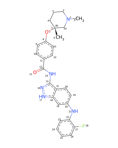 CN1CCC[C@@](C)(Oc2ccc(C(=O)Nc3n[nH]c4cc(Nc5ccccc5F)ccc34)cc2)C1